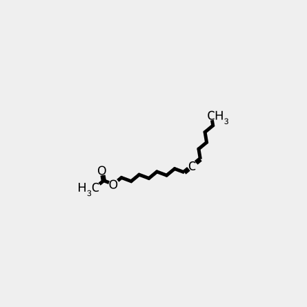 CCCCCC=C=CCCCCCCCOC(C)=O